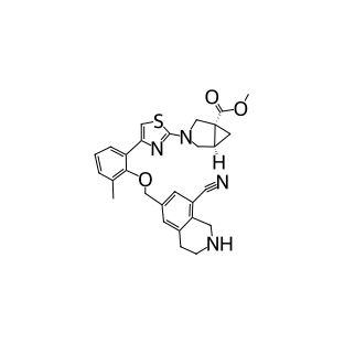 COC(=O)[C@]12C[C@H]1CN(c1nc(-c3cccc(C)c3OCc3cc(C#N)c4c(c3)CCNC4)cs1)C2